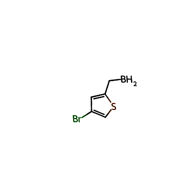 BCc1cc(Br)cs1